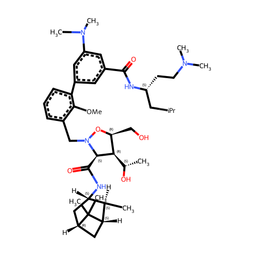 COc1c(CN2O[C@@H](CO)[C@@H]([C@H](C)O)[C@H]2C(=O)N[C@H]2C[C@H]3C[C@@H]([C@@H]2C)C3(C)C)cccc1-c1cc(C(=O)N[C@H](CCN(C)C)CC(C)C)cc(N(C)C)c1